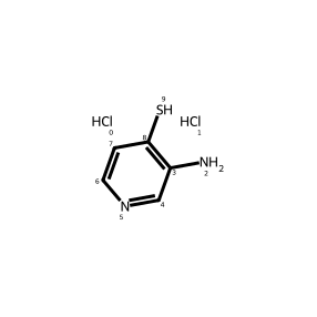 Cl.Cl.Nc1cnccc1S